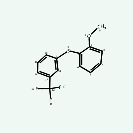 COc1ccccc1Sc1cccc(C(F)(F)F)c1